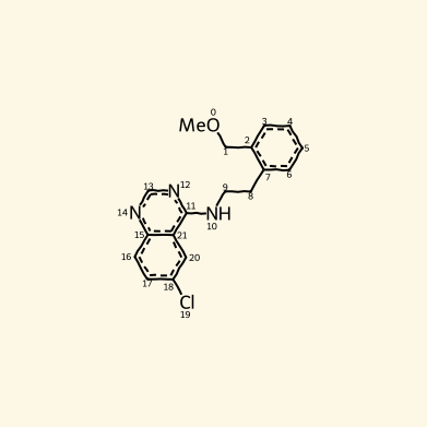 COCc1ccccc1CCNc1ncnc2ccc(Cl)cc12